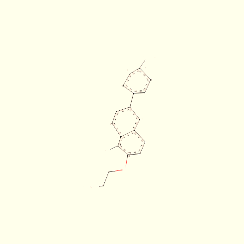 CCCCCCCCCCCCOc1ccc2cc(-c3ccc(CCCCCCCC)cc3)ccc2c1C=O